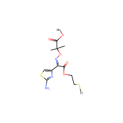 CCSCCOC(=O)C(=NOC(C)(C)C(=O)OC(C)(C)C)c1csc(N)n1